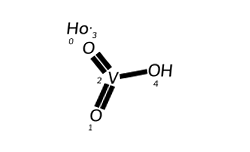 [Ho].[O]=[V](=[O])[OH]